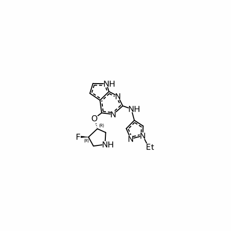 CCn1cc(Nc2nc(O[C@@H]3CNC[C@H]3F)c3cc[nH]c3n2)cn1